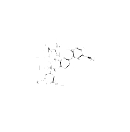 C=N/C(N)=N\C1(OC)C[C@@](C)(C(C=C(C)C)CCO)Oc2ccc(-c3cc(C#N)ccc3F)cc21